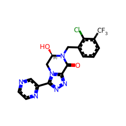 O=C1c2nnc(-c3cnccn3)n2C[C@@H](O)N1Cc1cccc(C(F)(F)F)c1Cl